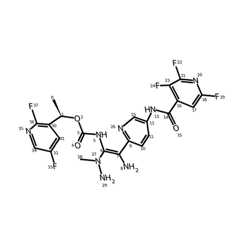 C[C@@H](OC(=O)N/C(=C(/N)c1ccc(NC(=O)c2cc(F)nc(F)c2F)cn1)N(C)N)c1cc(F)cnc1F